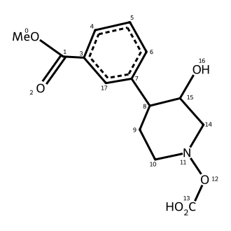 COC(=O)c1cccc(C2CCN(OC(=O)O)CC2O)c1